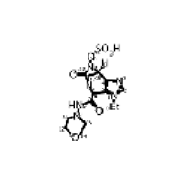 CCn1cnc2c1[C@@H](C(=O)NN1CCOCC1)N1C[C@@H]2N(OS(=O)(=O)O)C1=O